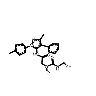 CC(=O)CNC(=O)N(CC(=O)Nc1c(-c2ccccc2)c(C)nn1-c1ccc(C)cc1)C(C)C